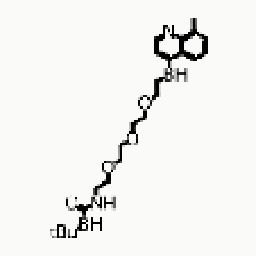 Cc1cccc2c(BCCOCCOCCOCCNC(=O)BC(C)(C)C)ccnc12